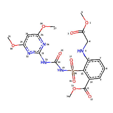 COC(=O)CNc1cccc(C(=O)OC)c1S(=O)(=O)NC(=O)Nc1nc(OC)cc(OC)n1